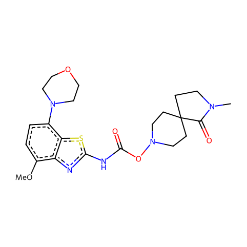 COc1ccc(N2CCOCC2)c2sc(NC(=O)ON3CCC4(CC3)CCN(C)C4=O)nc12